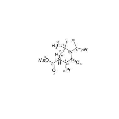 COC(=O)N[C@H](C(=O)N1C(C(C)C)CCC1(C)C)C(C)C